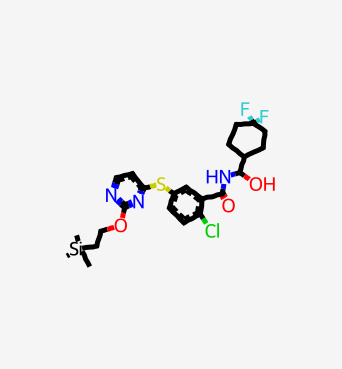 C[Si](C)(C)CCOc1nccc(Sc2ccc(Cl)c(C(=O)NC(O)C3CCC(F)(F)CC3)c2)n1